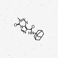 Cn1nnc2c(C(=O)NC34CC5CC(CC(C5)C3)C4)ncn2c1=O